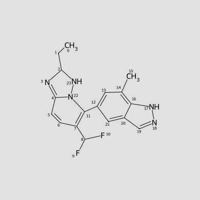 CCC1N=C2C=CC(C(F)F)=C(c3cc(C)c4[nH]ncc4c3)N2N1